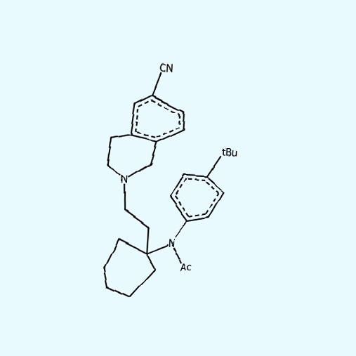 CC(=O)N(c1ccc(C(C)(C)C)cc1)C1(CCN2CCc3cc(C#N)ccc3C2)CCCCC1